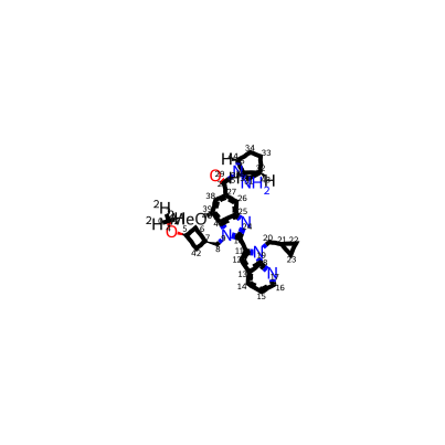 [2H]C([2H])([2H])O[C@H]1C[C@@H](Cn2c(-c3cc4cccnc4n3CC3CC3)nc3cc(C(=O)N4C[C@H]5CC[C@@H]4[C@@H]5N)cc(OC)c32)C1